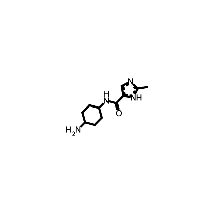 Cc1ncc(C(=O)NC2CCC(N)CC2)[nH]1